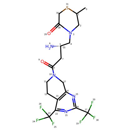 CC1CN(C[C@@H](N)CC(=O)N2CCc3c(nc(C(F)(F)F)nc3C(F)(F)F)C2)C(=O)CS1